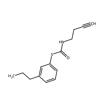 C#CCCNC(=O)Sc1cccc(CCC)c1